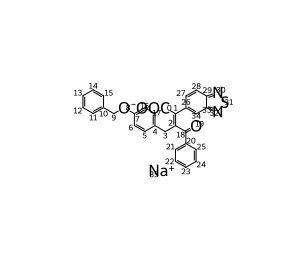 O=C([O-])C(=C(Cc1ccc(OCc2ccccc2)cc1)C(=O)c1ccccc1)c1ccc2nsnc2c1.[Na+]